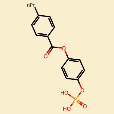 CCCc1ccc(C(=O)Oc2ccc(OP(=O)(O)O)cc2)cc1